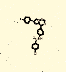 [O-][S+](Nc1ccc(-c2ncnn3cc(-c4ccc(F)cc4)cc23)cc1)c1ccc(Cl)cc1